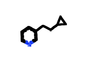 [CH](Cc1cccnc1)C1CC1